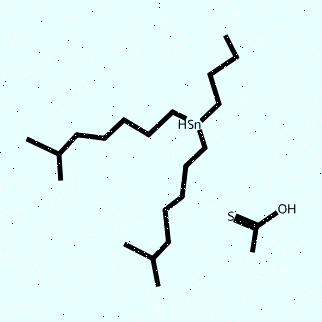 CC(O)=S.CCC[CH2][SnH]([CH2]CCCCC(C)C)[CH2]CCCCC(C)C